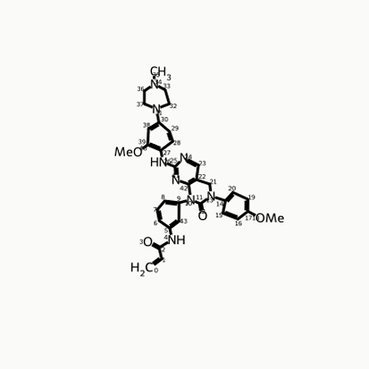 C=CC(=O)Nc1cccc(N2C(=O)N(c3ccc(OC)cc3)Cc3cnc(Nc4ccc(N5CCN(C)CC5)cc4OC)nc32)c1